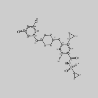 O=C(NS(=O)(=O)C1CC1)c1cc(C2CC2)c(CN2CCC(Oc3cc(Cl)cc(Cl)c3)CC2)cc1F